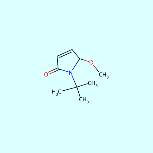 COC1C=CC(=O)N1C(C)(C)C